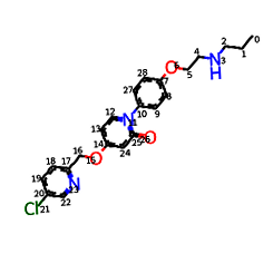 CCCNCCOc1ccc(-n2ccc(OCc3ccc(Cl)cn3)cc2=O)cc1